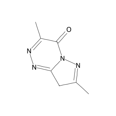 CC1=Nn2c(nnc(C)c2=O)C1